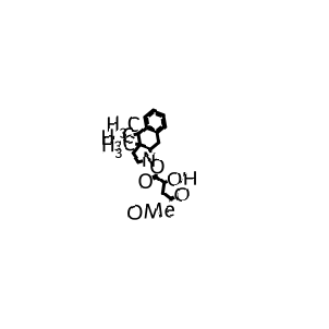 COC(=O)CC(O)C(=O)ON1CCC2(C)C1Cc1ccccc1C2(C)C